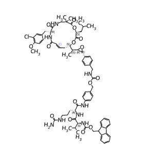 COc1ccc(C[C@H]2NC(=O)/C=C/C[C@@H]([C@H](C)[C@H]3O[C@@H]3c3ccc(CNC(=O)OCc4ccc(NC(=O)[C@@H](CCCNC(N)=O)NC(=O)[C@@H](NC(=O)OCC5c6ccccc6-c6ccccc65)C(C)C)cc4)cc3)OC(=O)[C@H](CC(C)C)OC(=O)C(C)(C)CNC2=O)cc1Cl